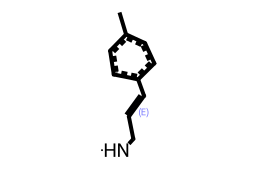 Cc1ccc(/C=C/C[NH])cc1